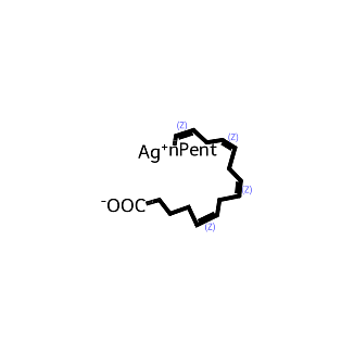 CCCCC/C=C\C/C=C\C/C=C\C/C=C\CCCC(=O)[O-].[Ag+]